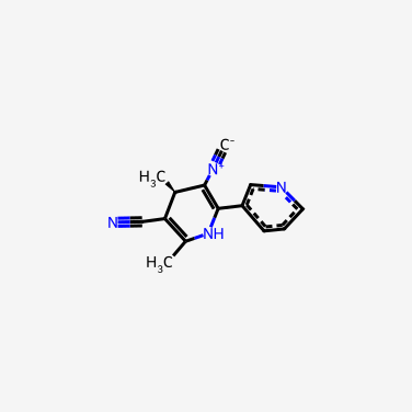 [C-]#[N+]C1=C(c2cccnc2)NC(C)=C(C#N)[C@H]1C